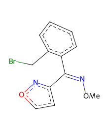 CON=C(c1ccon1)c1ccccc1CBr